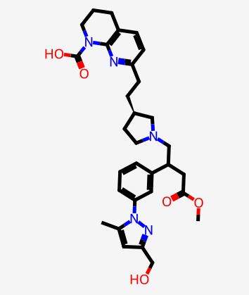 COC(=O)CC(CN1CC[C@@H](CCc2ccc3c(n2)N(C(=O)O)CCC3)C1)c1cccc(-n2nc(CO)cc2C)c1